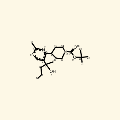 CCCC(C)(O)c1cnc(C)nc1C1CCN(C(=O)OC(C)(C)C)CC1